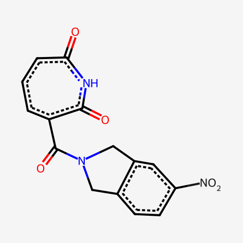 O=C(c1cccc(=O)[nH]c1=O)N1Cc2ccc([N+](=O)[O-])cc2C1